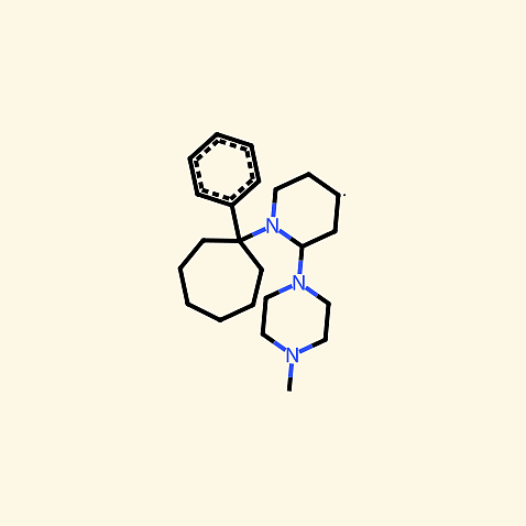 CN1CCN(C2C[CH]CCN2C2(c3ccccc3)CCCCCC2)CC1